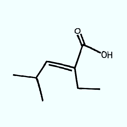 CC/C(=C\C(C)C)C(=O)O